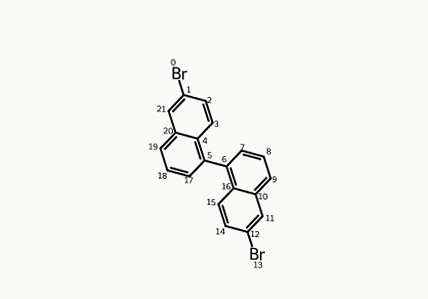 Brc1ccc2c(-c3cccc4cc(Br)ccc34)cccc2c1